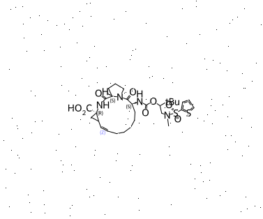 CN(CC(OC(=O)N[C@H]1CCCCC/C=C\C2C[C@@]2(C(=O)O)NC(=O)[C@@H]2CCCN2C1=O)C(C)(C)C)S(=O)(=O)c1cccs1